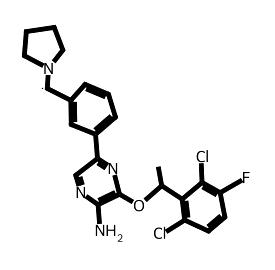 CC(Oc1nc(-c2cccc([CH]N3CCCC3)c2)cnc1N)c1c(Cl)ccc(F)c1Cl